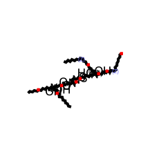 CCCCCCCC/C=C\CCCCCC[C@H](O)CN(CCCCSSCCN1CCN(CCOC(=O)CCCCN(CC(O)CCCCCCCCCC)CC(O)CCCCCCCCCC)CC1)C[C@@H](O)CCCCCC/C=C\CCCCCCCC